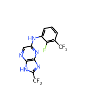 Fc1c(Nc2cnc3[nH]c(C(F)(F)F)nc3n2)cccc1C(F)(F)F